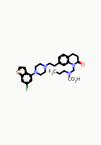 O=C(O)N(CCC(F)(F)F)CN1C(=O)CCc2ccc(CCN3CCN(c4cc(F)cc5sccc45)CC3)cc21